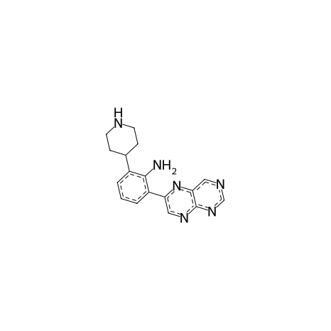 Nc1c(-c2cnc3ncncc3n2)cccc1C1CCNCC1